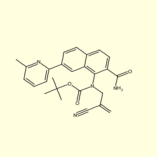 C=C(C#N)CN(C(=O)OC(C)(C)C)c1c(C(N)=O)ccc2ccc(-c3cccc(C)n3)cc12